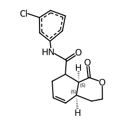 O=C(Nc1cccc(Cl)c1)C1CC=C[C@@H]2CCOC(=O)[C@H]12